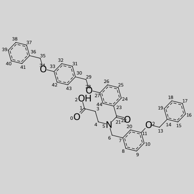 O=C(O)CCN(Cc1cccc(OCc2ccccc2)c1)C(=O)c1cccc(OCc2ccc(OCc3ccccc3)cc2)c1